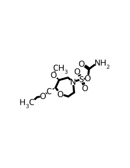 CCOC[C@H]1OCCN(S(=O)(=O)OC(N)=O)C[C@@H]1OC